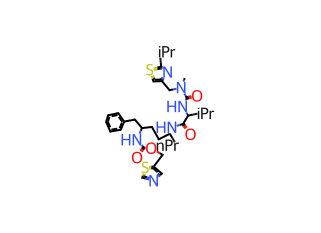 CCCC(CCC(Cc1ccccc1)NC(=O)OCc1cncs1)NC(=O)C(NC(=O)N(C)Cc1csc(C(C)C)n1)C(C)C